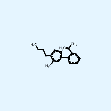 C=C(C)c1ccccc1-c1ccc(CCCC)c(C)c1